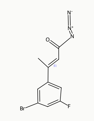 C/C(=C\C(=O)N=[N+]=[N-])c1cc(F)cc(Br)c1